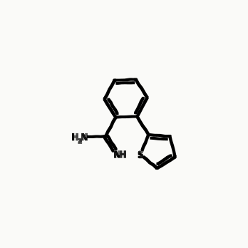 N=C(N)c1ccccc1-c1cccs1